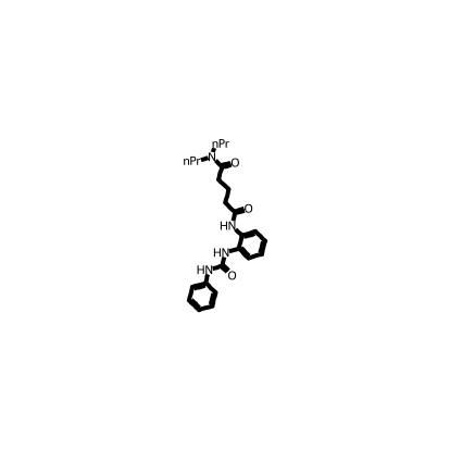 CCCN(CCC)C(=O)CCCC(=O)Nc1ccccc1NC(=O)Nc1ccccc1